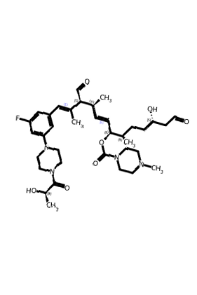 C/C(=C\c1cc(F)cc(N2CCN(C(=O)[C@@H](C)O)CC2)c1)[C@@H](C=O)[C@@H](C)/C=C/[C@H](OC(=O)N1CCN(C)CC1)[C@H](C)CC[C@H](O)CC=O